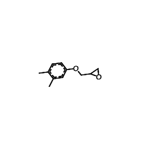 Cc1ccc(OCC2CO2)cc1C